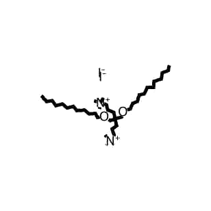 CCCCCCCCCCCCOCC(CCC[N+](C)(C)C)(CCC[N+](C)(C)C)COCCCCCCCCCCCC.[I-].[I-]